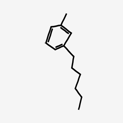 CCCCCCc1c[c]cc(C)c1